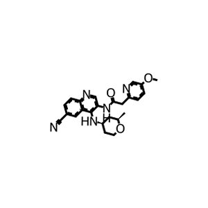 COc1ccc(CC(=O)Nc2cnc3ccc(C#N)cc3c2N[C@@H]2CCO[C@H](C)C2)nc1